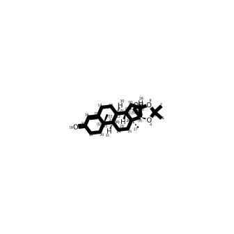 C[C@H](O)[C@@]12OC(C)(C)O[C@@H]1C[C@H]1[C@@H]3CCC4=CC(=O)CC[C@@]4(C)[C@@H]3CC[C@@]12C